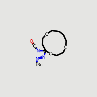 CC(C)(C)N=NC1(N=C=O)CCCCCCCCCCC1